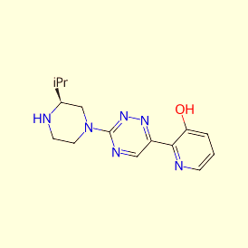 CC(C)[C@H]1CN(c2ncc(-c3ncccc3O)nn2)CCN1